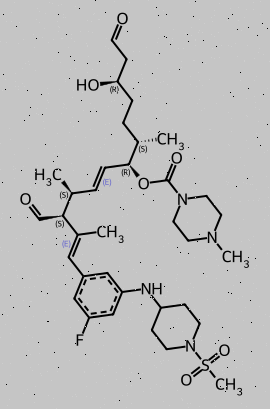 C/C(=C\c1cc(F)cc(NC2CCN(S(C)(=O)=O)CC2)c1)[C@@H](C=O)[C@@H](C)/C=C/[C@H](OC(=O)N1CCN(C)CC1)[C@@H](C)CC[C@@H](O)CC=O